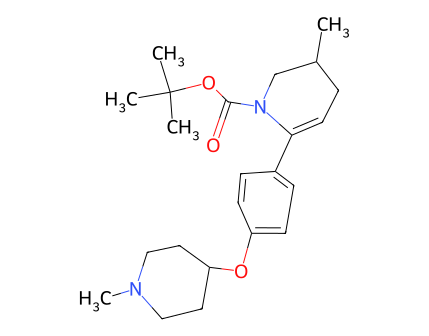 CC1CC=C(c2ccc(OC3CCN(C)CC3)cc2)N(C(=O)OC(C)(C)C)C1